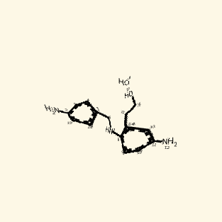 Cl.Nc1ccc(CNc2ccc(N)cc2CCO)cc1